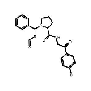 O=COC(c1ccccc1)N1CCCC1C(=O)NCC(=O)c1ccc(Br)cc1